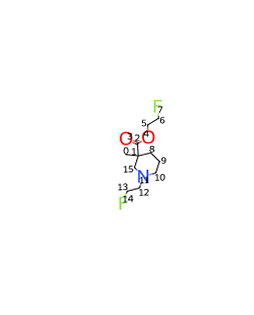 CC1(C(=O)OCCF)CCCN(CCF)C1